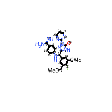 COCc1cc(C(Nc2ccc(C(=N)N)cc2)c2nn(-c3ncccn3)c(=O)[nH]2)cc(OC)c1F